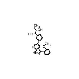 CC[C@H](O)[C@@H](O)c1cccc(-c2cnc3[nH]nc(-c4ccccc4OC)c3c2)c1